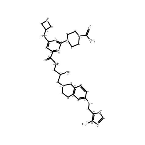 CC(=O)N1CCN(c2nc(NC3COC3)cc(C(=O)NCC(O)CN3CCc4cc(OCc5ocnc5C)ccc4C3)n2)CC1